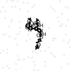 Cc1c(-c2cc3cc(NC(=O)OC4CC(C(C)O[Si](C)(C)C(C)(C)C)C4)ncc3c(NC(=O)OC(C)(C)C)c2F)cnc2c1N(C(=O)OC(C)(C)C)CCO2